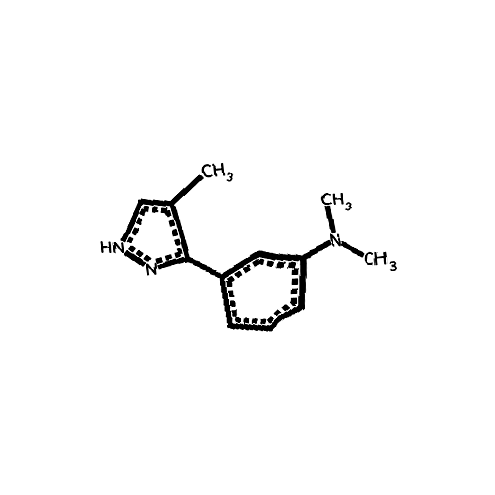 Cc1c[nH]nc1-c1cccc(N(C)C)c1